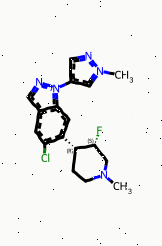 CN1CC[C@H](c2cc3c(cnn3-c3cnn(C)c3)cc2Cl)[C@H](F)C1